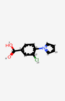 O=C(O)c1ccc(-n2cccc2)c(Cl)c1